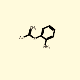 C=C(Sc1ccccc1N)C(C)=O